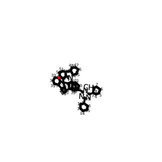 CN1C(c2ccccc2)=NC(c2ccccc2)=NC1c1cccc(-c2cccc3c2C2(c4ccccc4-3)c3ccccc3-n3c4ccccc4c4cccc2c43)c1